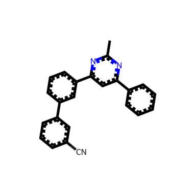 Cc1nc(-c2ccccc2)cc(-c2cccc(-c3cccc(C#N)c3)c2)n1